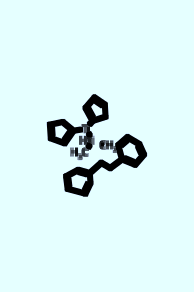 C[SiH](C)[Ti]([C]1=CC=CC1)[C]1=CC=CC1.c1ccc(CCc2ccccc2)cc1